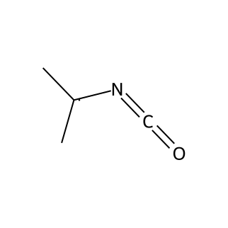 C[C](C)N=C=O